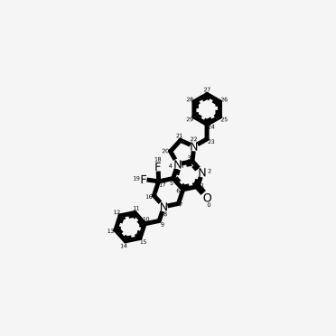 O=c1nc2n(c3c1CN(Cc1ccccc1)CC3(F)F)CCN2Cc1ccccc1